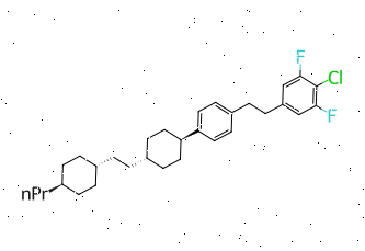 CCC[C@H]1CC[C@H](CC[C@H]2CC[C@H](c3ccc(CCc4cc(F)c(Cl)c(F)c4)cc3)CC2)CC1